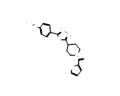 COc1ccc(-c2nnc(C3CCN(C(=O)c4ccco4)CC3)o2)cc1